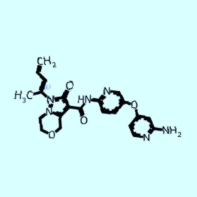 C=C/C=C(\C)n1c(=O)c(C(=O)Nc2ccc(Oc3ccnc(N)c3)cn2)c2n1CCOC2